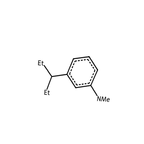 CCC(CC)c1cccc(NC)c1